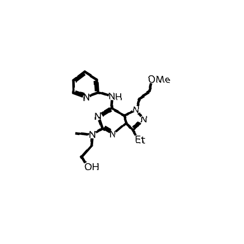 CCC1=NN(CCOC)C2C(Nc3ccccn3)=NC(N(C)CCO)=NC12